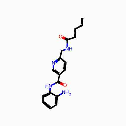 C=CCCC(=O)NCc1ccc(C(=O)Nc2ccccc2N)cn1